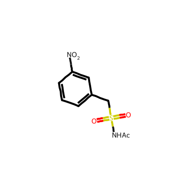 CC(=O)NS(=O)(=O)Cc1cccc([N+](=O)[O-])c1